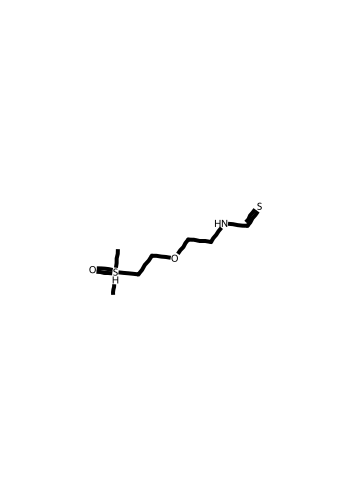 C[SH](C)(=O)CCOCCNC=S